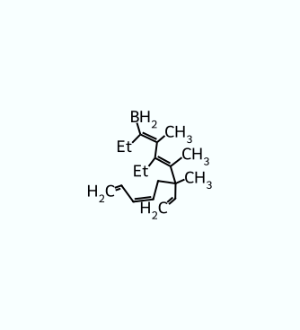 B/C(CC)=C(C)/C(CC)=C(\C)C(C)(C=C)C/C=C\C=C